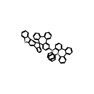 c1ccc(N(c2ccc3c(c2)-c2ccccc2-c2ccccc2C32c3ccccc3-c3cc4sc5ccccc5c4cc32)c2cccc3c2N(c2ccccc2)c2ccccc2-c2ccccc2-3)cc1